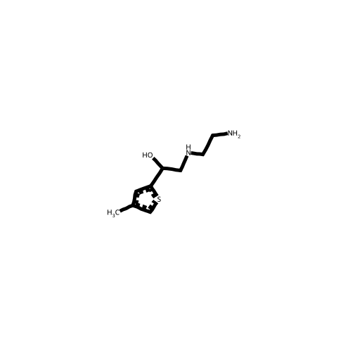 Cc1csc(C(O)CNCCN)c1